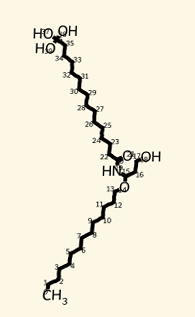 CCCCCCCCCCCCCCOC(CCO)NC(=O)CCCCCCCCCCCCCCC(O)(O)O